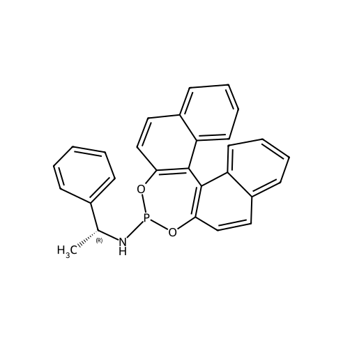 C[C@@H](Np1oc2ccc3ccccc3c2c2c(ccc3ccccc32)o1)c1ccccc1